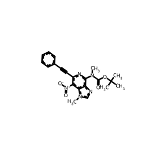 CN(C(=O)OC(C)(C)C)c1nc(C#Cc2ccccc2)c([N+](=O)[O-])c2c1ncn2C